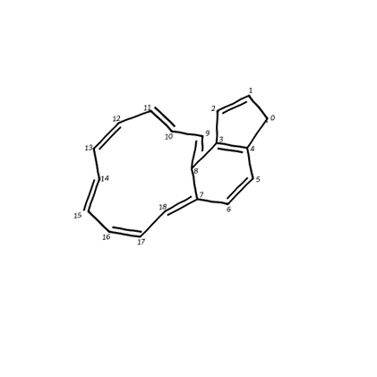 [CH]1C=Cc2c1ccc1/c2=C/C=C/C=C\C=C\C=C/C=1